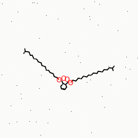 CC(C)CCCCCCCCCCCCCCCOC(=O)C1CC=CCC1C(=O)OCCCCCCCCCCCCCCCC(C)C